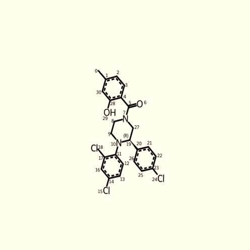 Cc1ccc(C(=O)N2CCN(c3ccc(Cl)cc3Cl)[C@H](c3ccc(Cl)cc3)C2)c(O)c1